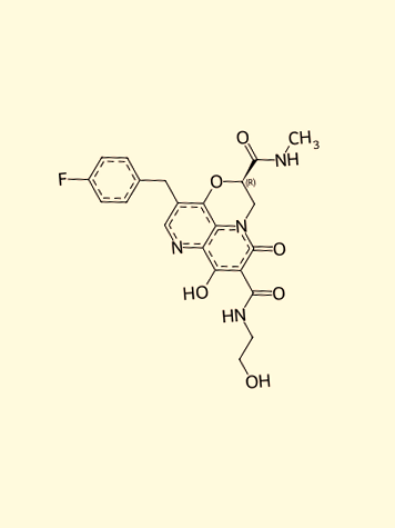 CNC(=O)[C@H]1Cn2c(=O)c(C(=O)NCCO)c(O)c3ncc(Cc4ccc(F)cc4)c(c32)O1